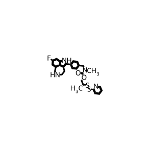 CC(COC(=O)N(C)Cc1ccc(-c2[nH]c3cc(F)cc4c3c2CCNC4)cc1)SSc1ccccn1